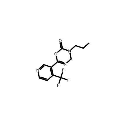 CCCN1CN=C(c2cnccc2C(F)(F)F)OC1=O